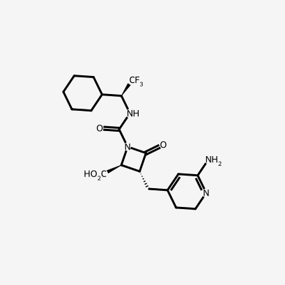 NC1=NCCC(C[C@H]2C(=O)N(C(=O)N[C@@H](C3CCCCC3)C(F)(F)F)[C@@H]2C(=O)O)=C1